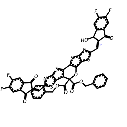 O=C1C(=Cc2nc3sc4c(c3s2)C(C(=O)OCc2ccccc2)(C(=O)OCc2ccccc2)Oc2c-4sc3nc(/C=C4/C(=O)c5cc(F)c(F)cc5C4O)sc23)C(=O)c2cc(F)c(F)cc21